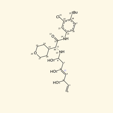 C=CC(O)/C=C(\O)CC(O)N[C@@H](C(=O)Nc1ccc(C(C)(C)C)c(Cl)c1)C1CCOCC1